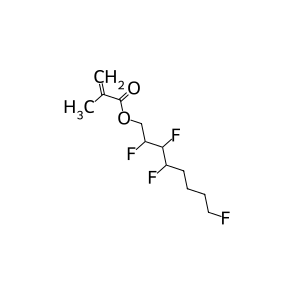 C=C(C)C(=O)OCC(F)C(F)C(F)CCCCF